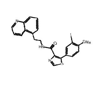 COc1ccc(-c2ocnc2C(=O)NCCc2cccc3ncccc23)cc1I